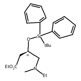 CCOC(=O)C[C@H](CN(C)CC)O[Si](c1ccccc1)(c1ccccc1)C(C)(C)C